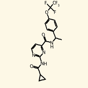 CC(NC(=O)c1ccnc(NC(=O)C2CC2)n1)c1ccc(OC(F)(F)C(F)(F)F)cc1